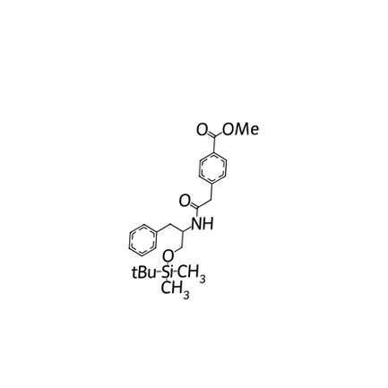 COC(=O)c1ccc(CC(=O)NC(CO[Si](C)(C)C(C)(C)C)Cc2ccccc2)cc1